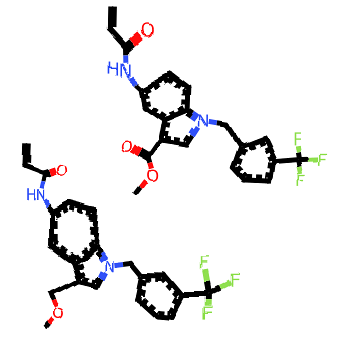 C=CC(=O)Nc1ccc2c(c1)c(C(=O)OC)cn2Cc1cccc(C(F)(F)F)c1.C=CC(=O)Nc1ccc2c(c1)c(COC)cn2Cc1cccc(C(F)(F)F)c1